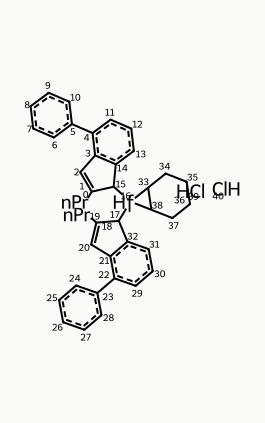 CCCC1=Cc2c(-c3ccccc3)cccc2[CH]1[Hf]1([CH]2C(CCC)=Cc3c(-c4ccccc4)cccc32)[CH]2CCCC[CH]21.Cl.Cl